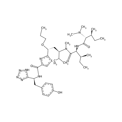 CCCO[C@H](C[C@H](C(C)C)N(C)C(=O)[C@@H](NC(=O)[C@@H]([C@@H](C)CC)N(C)C)[C@@H](C)CC)c1nc(C(=O)N[C@@H](Cc2ccc(O)cc2)c2nnn[nH]2)cs1